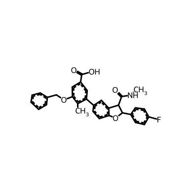 CNC(=O)C1c2cc(-c3cc(C(=O)O)cc(OCc4ccccc4)c3C)ccc2OC1c1ccc(F)cc1